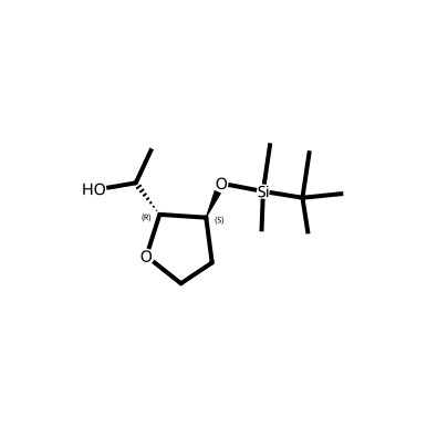 CC(O)[C@H]1OCC[C@@H]1O[Si](C)(C)C(C)(C)C